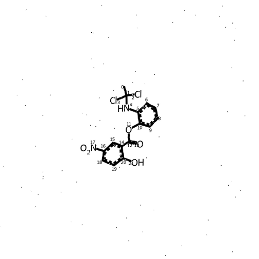 CC(Cl)(Cl)Nc1ccccc1OC(=O)c1cc([N+](=O)[O-])ccc1O